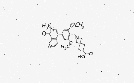 COc1cc(-c2cn(C)c(=O)c3cnccc23)cc(OC)c1CN1CC2(CC(C(=O)O)C2)C1